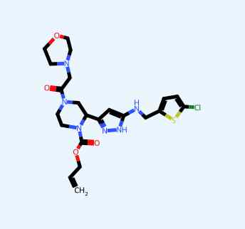 C=CCOC(=O)N1CCN(C(=O)CN2CCOCC2)CC1c1cc(NCc2ccc(Cl)s2)[nH]n1